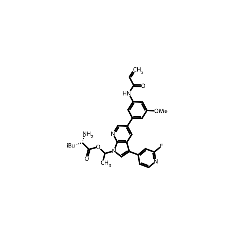 C=CC(=O)Nc1cc(OC)cc(-c2cnc3c(c2)c(-c2ccnc(F)c2)cn3C(C)OC(=O)[C@@H](N)[C@@H](C)CC)c1